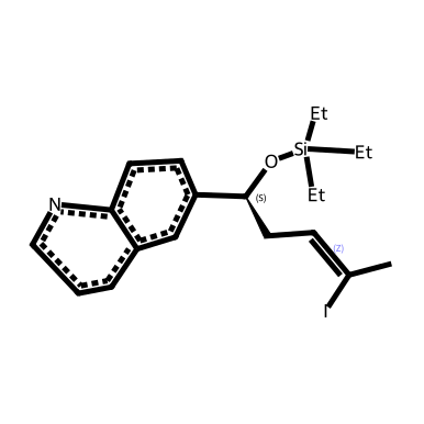 CC[Si](CC)(CC)O[C@@H](C/C=C(/C)I)c1ccc2ncccc2c1